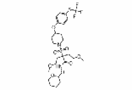 COCCC(CCOC)(C(=O)NOC1CCCCO1)S(=O)(=O)N1CCC(Oc2ccc(SC(F)(F)F)cc2)CC1